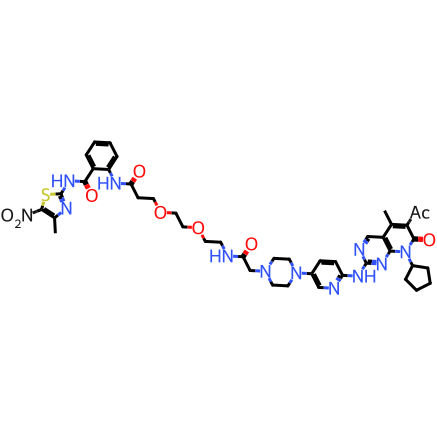 CC(=O)c1c(C)c2cnc(Nc3ccc(N4CCN(CC(=O)NCCOCCOCCC(=O)Nc5ccccc5C(=O)Nc5nc(C)c([N+](=O)[O-])s5)CC4)cn3)nc2n(C2CCCC2)c1=O